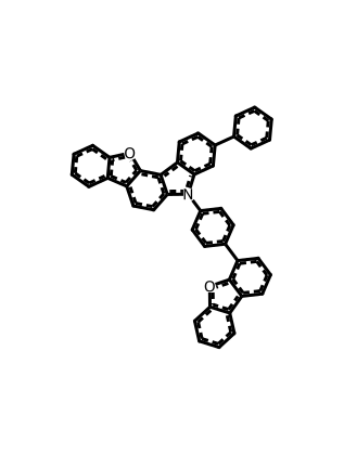 c1ccc(-c2ccc3c4c5oc6ccccc6c5ccc4n(-c4ccc(-c5cccc6c5oc5ccccc56)cc4)c3c2)cc1